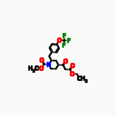 CCOC(=O)CC(=O)C1CCN(C(=O)OC)C(Cc2ccc(OC(F)(F)F)cc2)C1